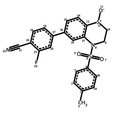 Cc1ccc(S(=O)(=O)N2CC[S+]([O-])c3ccc(-c4ccc(C#N)c(F)c4)cc32)cc1